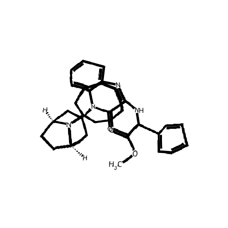 COC(=O)C(Nc1nc2ccccc2n([C@H]2C[C@H]3CC[C@@H](C2)N3C2CCCCCCC2)c1=O)c1ccccc1